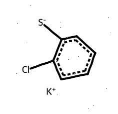 [K+].[S-]c1ccccc1Cl